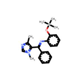 Cc1ncn(C)c1C(=Nc1ccccc1O[Si](C)(C)C)c1ccccc1